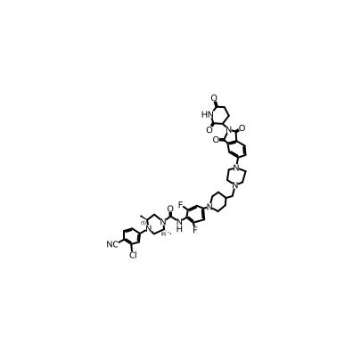 C[C@@H]1CN(c2ccc(C#N)c(Cl)c2)[C@@H](C)CN1C(=O)Nc1c(F)cc(N2CCC(CN3CCN(c4ccc5c(c4)C(=O)N(C4CCC(=O)NC4=O)C5=O)CC3)CC2)cc1F